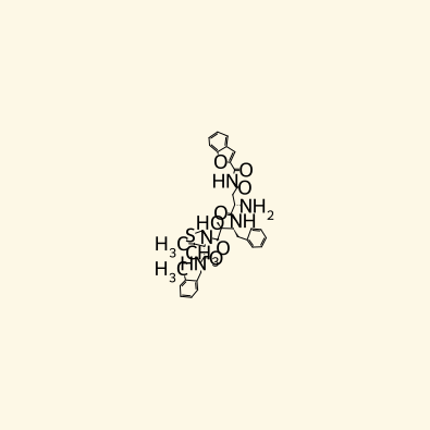 Cc1ccccc1CNC(=O)[C@H]1N(C(=O)[C@@H](O)[C@H](Cc2ccccc2)NC(=O)[C@@H](N)CC(=O)NC(=O)c2cc3ccccc3o2)CSC1(C)C